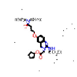 CCCCCCN(CCCCCC)C(=O)CCCOc1ccc2c(c1)CN(CC(=O)OC1CCCC1)C(NC(=O)OCC)=N2